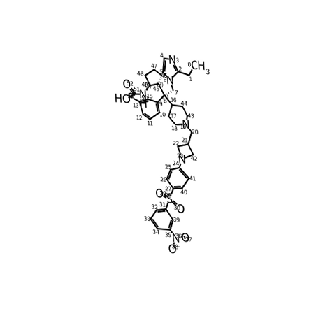 CCc1nccn1C[C@@](c1cccc(F)c1)(C1CCN(CC2CN(c3ccc(S(=O)(=O)c4cccc([N+](=O)[O-])c4)cc3)C2)CC1)[C@H]1CCC[C@@H]1NC(=O)O